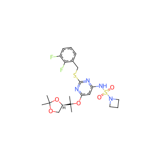 CC1(C)OC[C@H](C(C)(C)Oc2cc(NS(=O)(=O)N3CCC3)nc(SCc3cccc(F)c3F)n2)O1